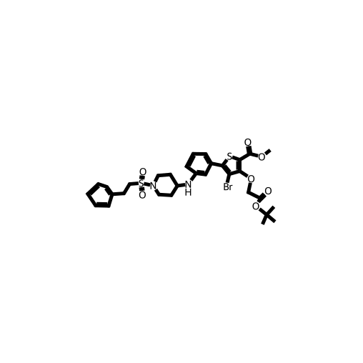 COC(=O)c1sc(-c2cccc(NC3CCN(S(=O)(=O)CCc4ccccc4)CC3)c2)c(Br)c1OCC(=O)OC(C)(C)C